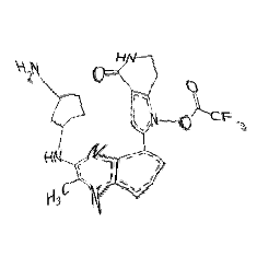 Cc1nc2cccc(-c3cc4c(n3OC(=O)C(F)(F)F)CCNC4=O)c2nc1NC1CCC(N)C1